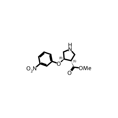 COC(=O)[C@H]1CNC[C@@H]1Oc1cccc([N+](=O)[O-])c1